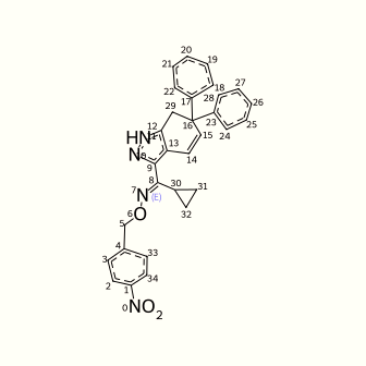 O=[N+]([O-])c1ccc(CO/N=C(/c2n[nH]c3c2C=CC(c2ccccc2)(c2ccccc2)C3)C2CC2)cc1